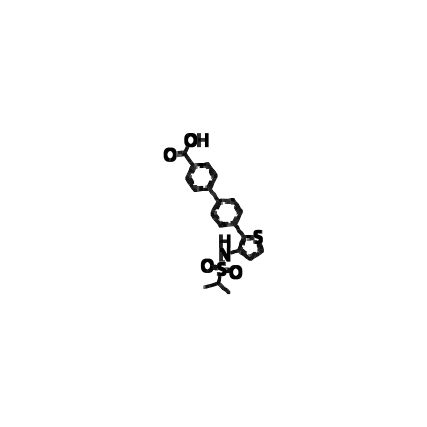 CC(C)S(=O)(=O)Nc1ccsc1-c1ccc(-c2ccc(C(=O)O)cc2)cc1